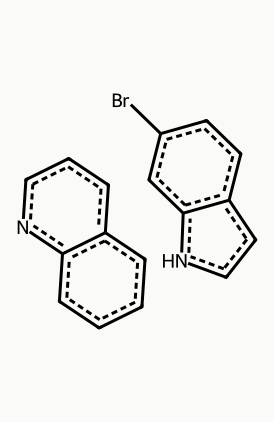 Brc1ccc2cc[nH]c2c1.c1ccc2ncccc2c1